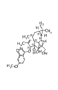 COc1ccc2c(O[C@H]3C(C)=C[C@]45C(=O)[C@@H](C=C(CO)[C@@H](O)[C@]34O)[C@H]3[C@@H](C[C@H]5C)C3(C)C)noc2c1